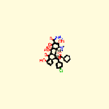 CN(C)[C@@H]1C(O)=C(C(N)=O)C(=O)[C@@]2(O)C(O)=C3C(=O)c4c(O)cccc4/C(=C\c4ccc(Cl)cc4)[C@H]3[C@H](OC(=O)C3CCCCC3)[C@@H]12